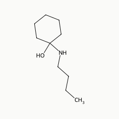 CCCCNC1(O)CCCCC1